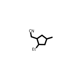 CCC1CC(C)CC1CC#N